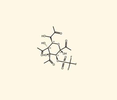 CC(=O)C(O)[C@H]1O[C@](O)(C(C)=O)[C@@H](OS(=O)(=O)C(F)(F)F)[C@](O)(C(C)=O)[C@@]1(O)C(C)=O